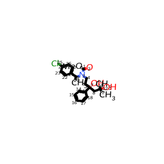 COC(=O)N(CCC(O)(CC(C)(C)O)c1ccccc1)C(C)c1ccc(Cl)cc1